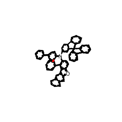 c1ccc(-c2ccc(N(c3ccc4c(c3)C3(c5ccccc5-c5ccccc53)c3ccccc3-4)c3ccc4oc5cc6ccccc6cc5c4c3-c3ccccc3)cc2)cc1